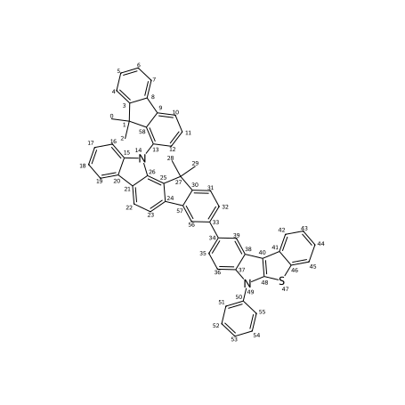 CC1(C)c2ccccc2-c2cccc(-n3c4ccccc4c4ccc5c(c43)C(C)(C)c3ccc(-c4ccc6c(c4)c4c7ccccc7sc4n6-c4ccccc4)cc3-5)c21